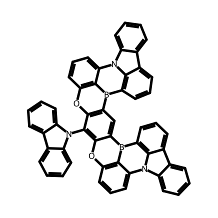 c1cc2c3c(c1)-n1c4ccccc4c4cccc(c41)B3c1cc3c(c(-n4c5ccccc5c5ccccc54)c1O2)Oc1cccc2c1B3c1cccc3c4ccccc4n-2c13